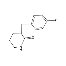 O=C1NCCCC1Cc1ccc(F)cc1